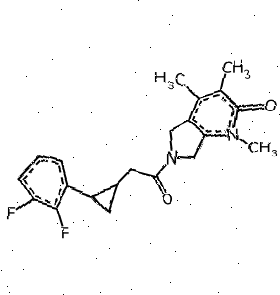 Cc1c2c(n(C)c(=O)c1C)CN(C(=O)CC1CC1c1cccc(F)c1F)C2